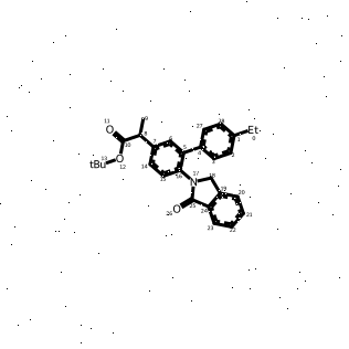 CCc1ccc(-c2cc(C(C)C(=O)OC(C)(C)C)ccc2N2Cc3ccccc3C2=O)cc1